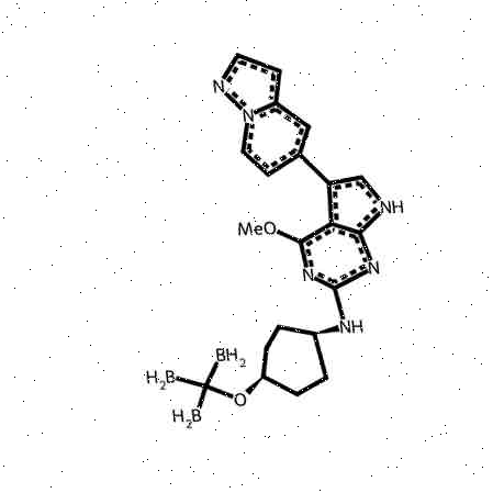 BC(B)(B)O[C@H]1CC[C@@H](Nc2nc(OC)c3c(-c4ccn5nccc5c4)c[nH]c3n2)CC1